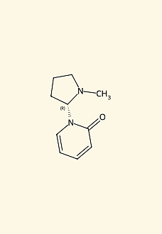 CN1CCC[C@H]1n1ccccc1=O